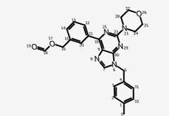 Cc1ccc(Cn2cnc3c(-c4cccc(COC=O)c4)nc(N4CCOCC4)nc32)cc1